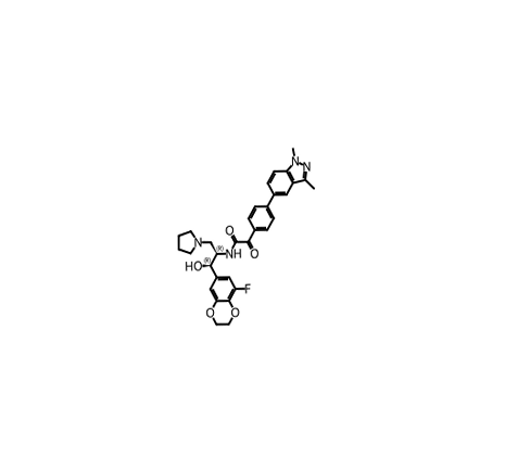 Cc1nn(C)c2ccc(-c3ccc(C(=O)C(=O)N[C@H](CN4CCCC4)[C@H](O)c4cc(F)c5c(c4)OCCO5)cc3)cc12